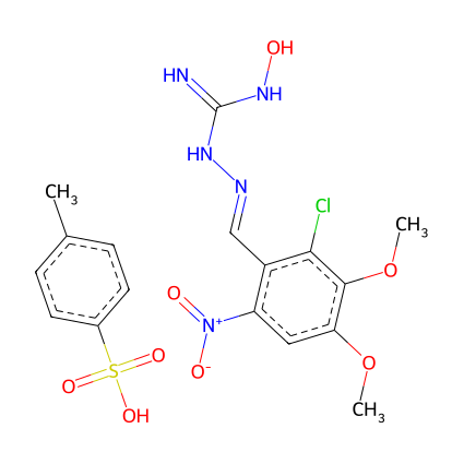 COc1cc([N+](=O)[O-])c(/C=N/NC(=N)NO)c(Cl)c1OC.Cc1ccc(S(=O)(=O)O)cc1